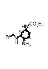 CCOC(=O)Nc1ccc(N)c(NCC(C)C)c1